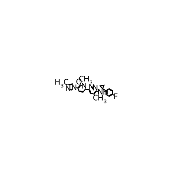 COc1nc(-c2cc(C)c(NC3(c4ccc(F)cc4)CC3)nn2)ccc1-n1cnc(C)c1